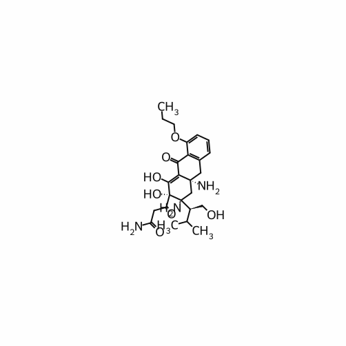 CCCOc1cccc2c1C(=O)C1=C(O)[C@](O)(C(=O)CC(N)=O)[C@](N)([C@@H](CO)C(C)C)C[C@]1(N)C2